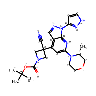 C[C@@H]1COCCN1c1cc(C2(C#N)CN(C(=O)OC(C)(C)C)C2)c2cnn(-c3cc[nH]n3)c2n1